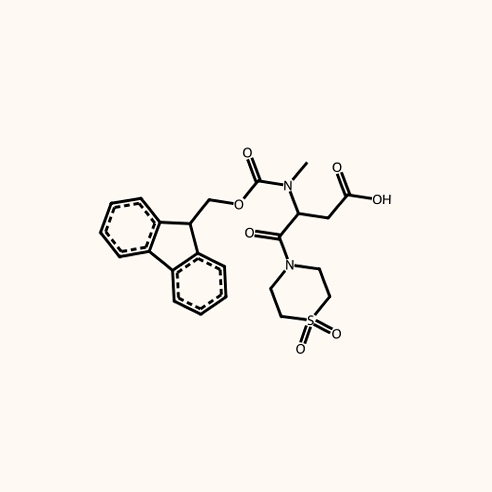 CN(C(=O)OCC1c2ccccc2-c2ccccc21)C(CC(=O)O)C(=O)N1CCS(=O)(=O)CC1